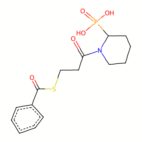 O=C(SCCC(=O)N1CCCCC1P(=O)(O)O)c1ccccc1